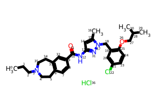 CCCN1CCc2ccc(C(=O)Nc3cc(C)n(Cc4cc(Cl)ccc4OCC(C)C)n3)cc2CC1.Cl